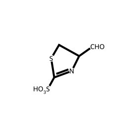 O=CC1CSC(S(=O)(=O)O)=N1